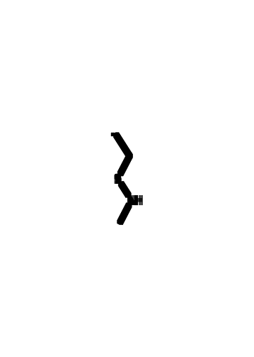 [CH2]CSNC